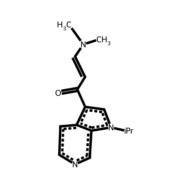 CC(C)n1cc(C(=O)C=CN(C)C)c2ccncc21